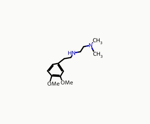 COc1ccc(CCNCCN(C)C)cc1OC